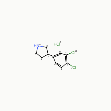 Cl.Clc1ccc(C2CCNC2)cc1Cl